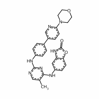 Cc1cnc(Nc2ccc(-c3ccc(N4CCOCC4)nc3)cc2)nc1Nc1ccc2oc(=O)[nH]c2c1